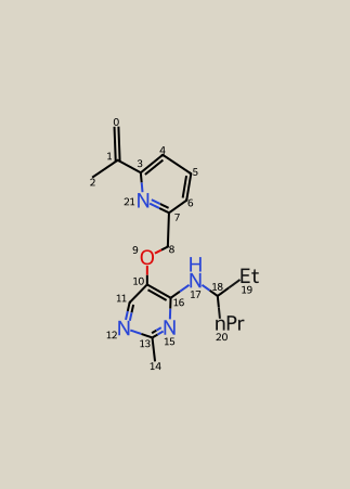 C=C(C)c1cccc(COc2cnc(C)nc2NC(CC)CCC)n1